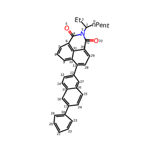 CCCCCC(CC)N1C(=O)c2cccc3c(-c4ccc5cc(-c6ccccc6)ccc5c4)ccc(c23)C1=O